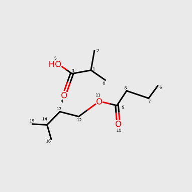 CC(C)C(=O)O.CCCC(=O)OCCC(C)C